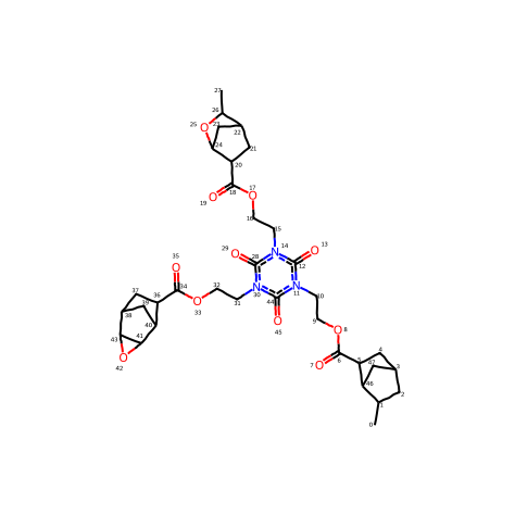 CC1CC2CC(C(=O)OCCn3c(=O)n(CCOC(=O)C4CC5CC4OC5C)c(=O)n(CCOC(=O)C4CC5CC4C4OC54)c3=O)C1C2